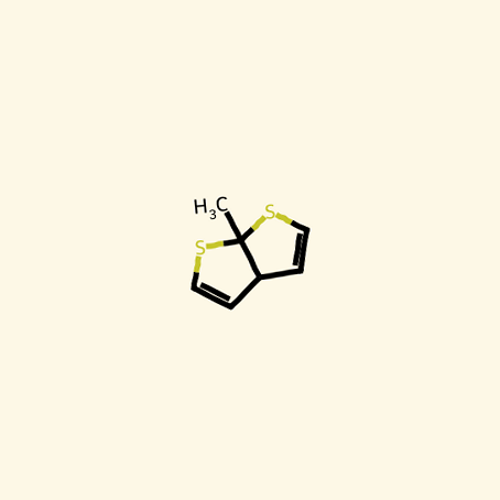 CC12SC=CC1C=CS2